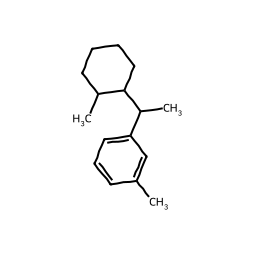 Cc1cccc(C(C)C2CCCCC2C)c1